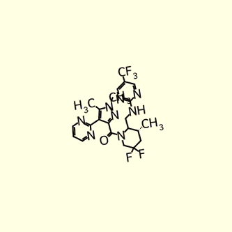 Cc1c(-c2ncccn2)c(C(=O)N2CC(F)(F)C[C@@H](C)C2CNc2ncc(C(F)(F)F)cn2)nn1C